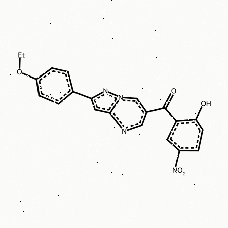 CCOc1ccc(-c2cc3ncc(C(=O)c4cc([N+](=O)[O-])ccc4O)cn3n2)cc1